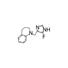 Fc1[nH]cnc1CN1CCCc2ccccc21